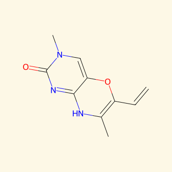 C=CC1=C(C)Nc2nc(=O)n(C)cc2O1